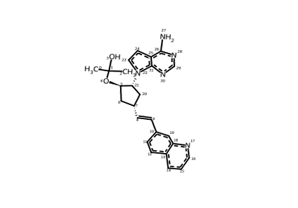 CC(C)(O)O[C@@H]1C[C@@H](/C=C/c2ccc3cccnc3c2)C[C@H]1n1ccc2c(N)ncnc21